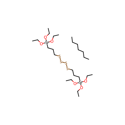 CCCCCCC.CCO[Si](CCCSSSSCCC[Si](OCC)(OCC)OCC)(OCC)OCC